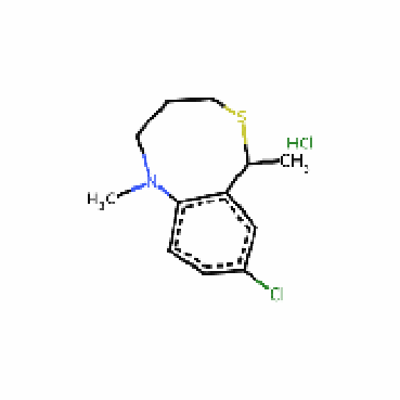 CC1SCCCN(C)c2ccc(Cl)cc21.Cl